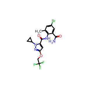 Cc1cc(Br)cc(C(N)=O)c1NC(=O)c1cc(OCC(F)(F)F)nn1C1CC1